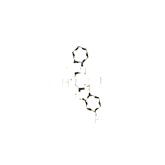 Cn1c(Nc2nc3ccccc3o2)nc2cc(F)ccc21